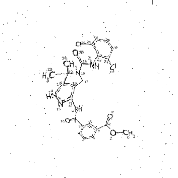 COC(=O)c1cccc(C(=O)Nc2n[nH]c3c2CN(C(=O)Nc2c(Cl)cccc2Cl)C3(C)C)c1